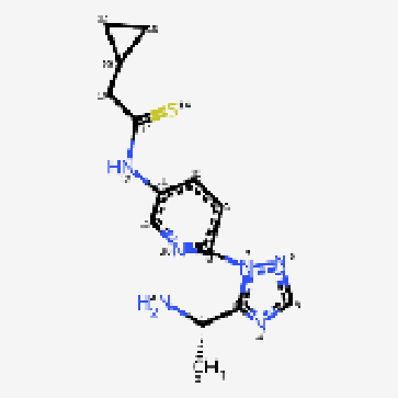 C[C@H](N)c1ncnn1-c1ccc(NC(=S)CC2CC2)cn1